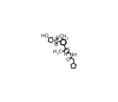 Cc1ccc(-c2sc(NC(=O)CC3CCCC3)nc2C)cc1S(=O)(=O)N1CC[C@@H](O)C1